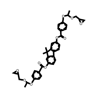 CC(OCC1CO1)Oc1ccc(C(=O)Oc2ccc3c(c2)C(C)(C)c2cc(OC(=O)c4ccc(OC(C)OCC5CO5)cc4)ccc2-3)cc1